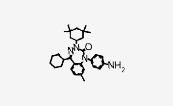 Cc1ccc2c(c1)N(c1ccc(N)cc1)C(=O)N(C1CC(C)(C)CC(C)(C)C1)N=C2C1CCCCC1